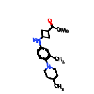 COC(=O)C1CC(Nc2ccc(N3CCC(C)CC3)c(C)c2)C1